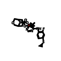 Cc1c(Nc2ccc(SC3CC3)cc2F)ncnc1OC1CC2COCC(C1)N2C(=O)OC1CCC1